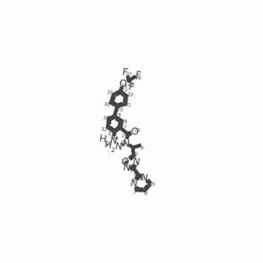 CC(c1nc(-c2ncccn2)no1)N(N)C(=O)c1cc(-c2ccc(OC(F)(F)F)cc2)ccc1N